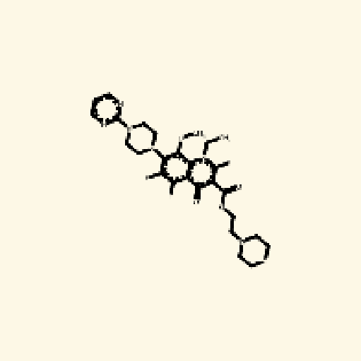 CCn1c(F)c(C(=O)OCCN2CCOCC2)c(=O)c2c(F)c(F)c(N3CCN(c4ncccn4)CC3)c(OC)c21